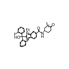 CCn1c(C(O)(c2ccccc2F)c2ccccc2F)nc2ccc(C(=O)N[C@@H]3CCC(=O)N(C)C3)cc21